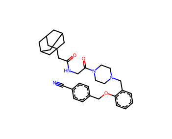 N#Cc1ccc(COc2ccccc2CN2CCN(C(=O)CNC(=O)CC34CC5CC(CC(C5)C3)C4)CC2)cc1